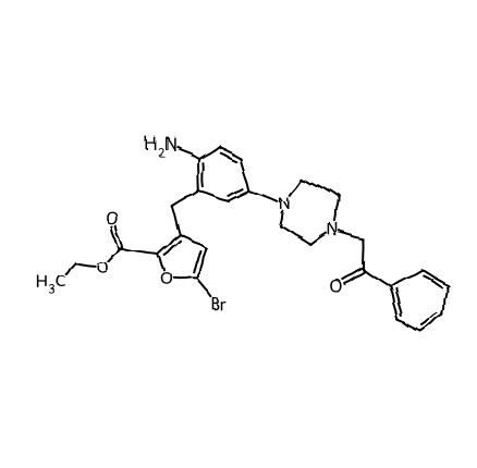 CCOC(=O)c1oc(Br)cc1Cc1cc(N2CCN(CC(=O)c3ccccc3)CC2)ccc1N